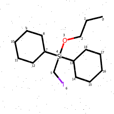 CCCO[Si](CI)(C1CCCCC1)C1CCCCC1